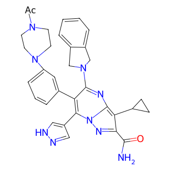 CC(=O)N1CCN(c2cccc(-c3c(N4Cc5ccccc5C4)nc4c(C5CC5)c(C(N)=O)nn4c3-c3cn[nH]c3)c2)CC1